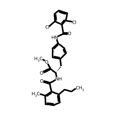 CCCc1cccc(C)c1C(=O)N[C@@H](Cc1ccc(NC(=O)c2c(Cl)cccc2Cl)cc1)C(=O)OC